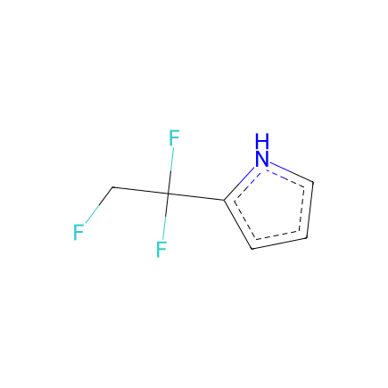 FCC(F)(F)c1ccc[nH]1